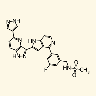 CS(=O)(=O)NCc1cc(F)cc(-c2nccc3[nH]c(-c4n[nH]c5ccc(-c6cn[nH]c6)nc45)cc23)c1